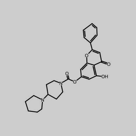 O=C(Oc1cc(O)c2c(=O)cc(-c3ccccc3)oc2c1)N1CCC(N2CCCCC2)CC1